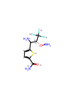 NO[C@H](C(N)c1ccc(C(N)=O)s1)C(F)(F)F